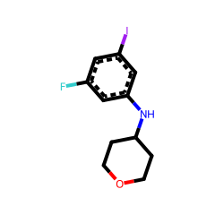 Fc1cc(I)cc(NC2CCOCC2)c1